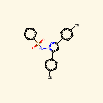 N#Cc1ccc(-c2cc(-c3ccc(C#N)cc3)n(NS(=O)(=O)c3ccccc3)n2)cc1